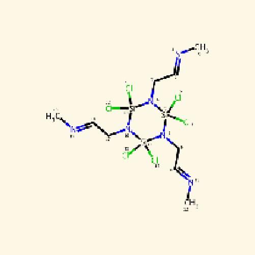 CN=CCN1[Si](Cl)(Cl)N(CC=NC)[Si](Cl)(Cl)N(CC=NC)[Si]1(Cl)Cl